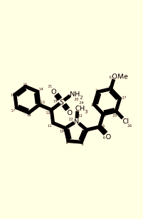 COc1ccc(C(=O)c2ccc(CC(c3ccccc3)S(N)(=O)=O)n2C)c(Cl)c1